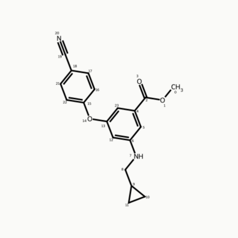 COC(=O)c1cc(NCC2CC2)cc(Oc2ccc(C#N)cc2)c1